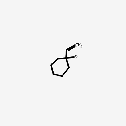 C=CC1([S])CCCCC1